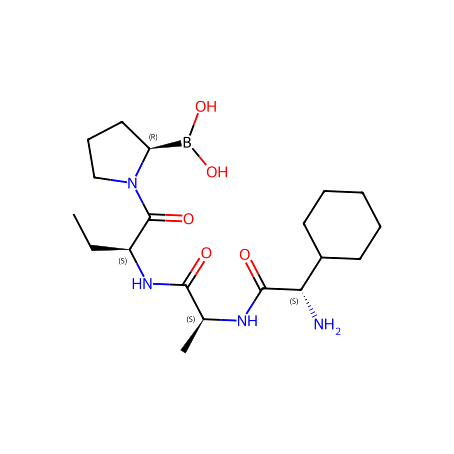 CC[C@H](NC(=O)[C@H](C)NC(=O)[C@@H](N)C1CCCCC1)C(=O)N1CCC[C@H]1B(O)O